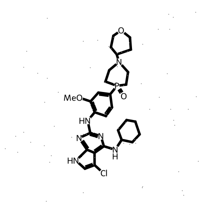 COc1cc(P2(=O)CCN(C3CCOCC3)CC2)ccc1Nc1nc(NC2CCCCC2)c2c(Cl)c[nH]c2n1